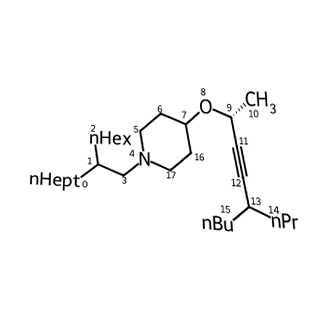 CCCCCCCC(CCCCCC)CN1CCC(O[C@H](C)C#CC(CCC)CCCC)CC1